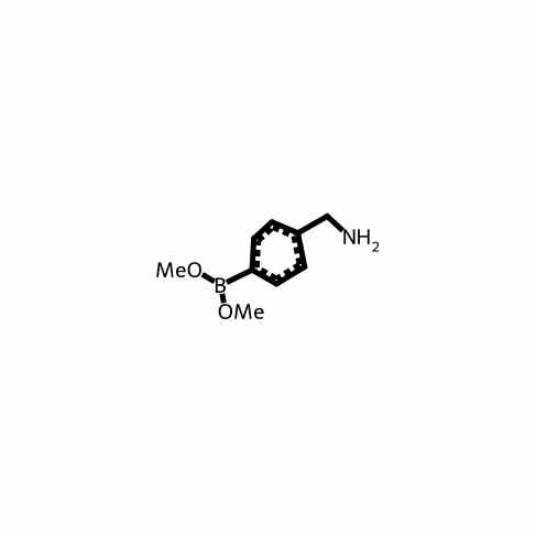 COB(OC)c1ccc(CN)cc1